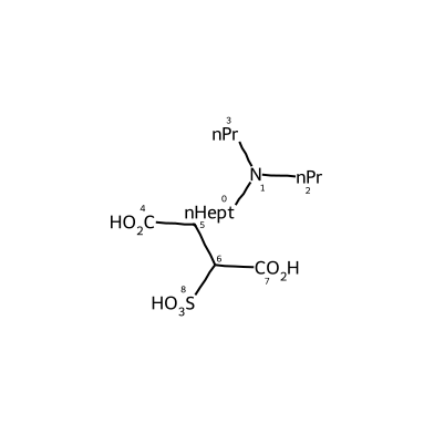 CCCCCCCN(CCC)CCC.O=C(O)CC(C(=O)O)S(=O)(=O)O